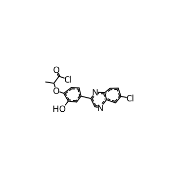 CC(Oc1ccc(-c2cnc3cc(Cl)ccc3n2)cc1O)C(=O)Cl